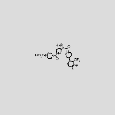 O=C(O)N1CCN(C(=O)N2Cc3[nH]nc(C(=O)N4CCC(c5ccc(F)c(F)c5C(F)(F)F)CC4)c3C2)CC1